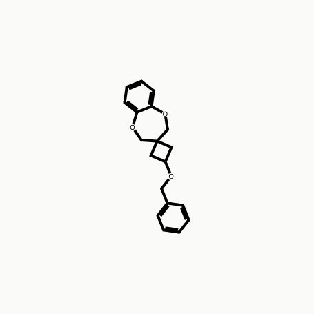 c1ccc(COC2CC3(COc4ccccc4OC3)C2)cc1